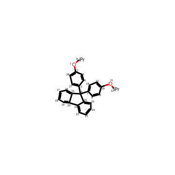 CC(C)Oc1ccc(C2(c3ccc(OC(C)C)cc3)c3ccccc3-c3ccccc32)cc1